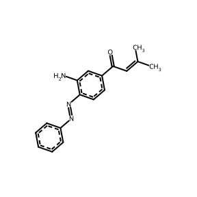 CC(C)=CC(=O)c1ccc(N=Nc2ccccc2)c(N)c1